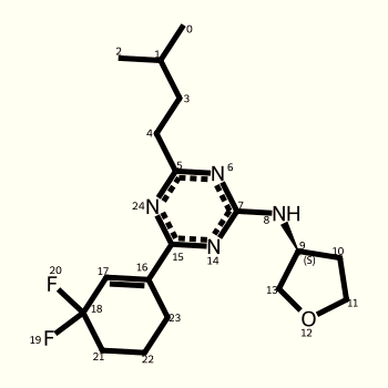 CC(C)CCc1nc(N[C@H]2CCOC2)nc(C2=CC(F)(F)CCC2)n1